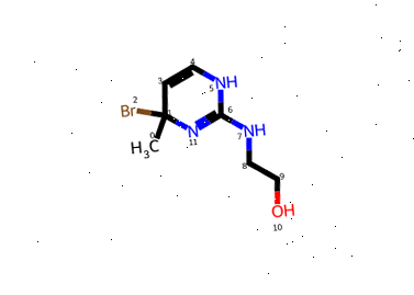 CC1(Br)C=CNC(NCCO)=N1